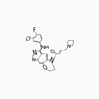 O=C(/C=C/CN1CCCC1)N1CCCOc2cc3ncnc(Nc4ccc(F)c(Cl)c4)c3cc21